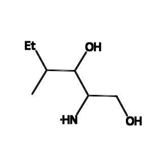 CCC(C)C(O)C([NH])CO